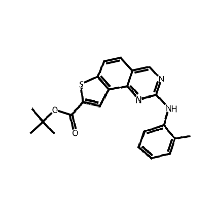 Cc1ccccc1Nc1ncc2ccc3sc(C(=O)OC(C)(C)C)cc3c2n1